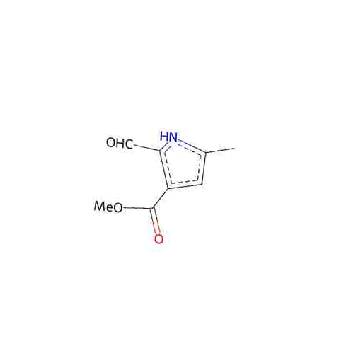 COC(=O)c1cc(C)[nH]c1C=O